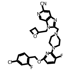 N#Cc1cc2nc(CN3CCN(c4nc(OCc5ccc(Cl)cc5F)ccc4F)CC3)n(CC3CCO3)c2cn1